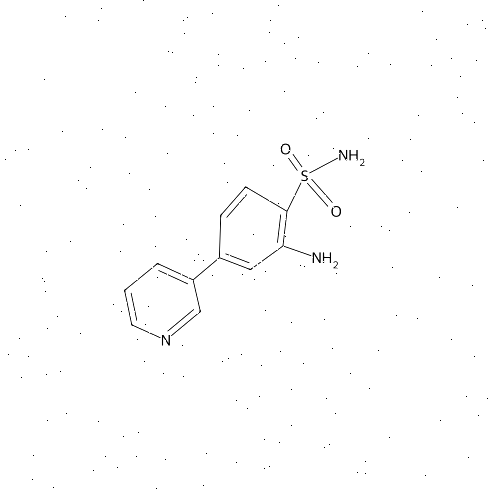 Nc1cc(-c2cccnc2)ccc1S(N)(=O)=O